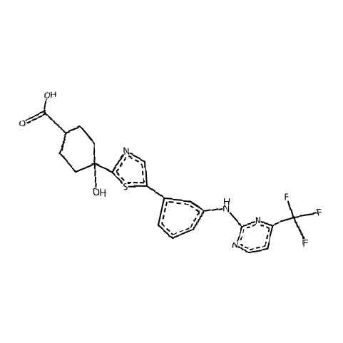 O=C(O)C1CCC(O)(c2ncc(-c3cccc(Nc4nccc(C(F)(F)F)n4)c3)s2)CC1